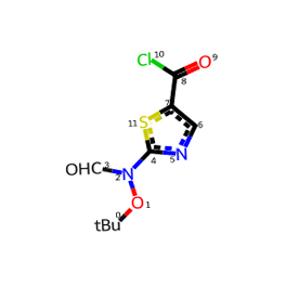 CC(C)(C)ON(C=O)c1ncc(C(=O)Cl)s1